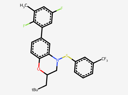 Cc1cc(F)cc(-c2ccc3c(c2)N(Sc2cccc(C(F)(F)F)c2)CC(CC(C)(C)C)O3)c1F